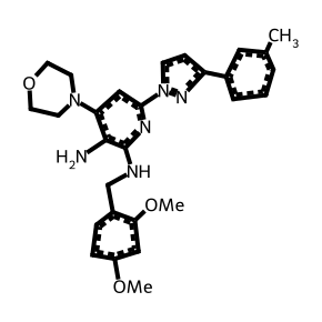 COc1ccc(CNc2nc(-n3ccc(-c4cccc(C)c4)n3)cc(N3CCOCC3)c2N)c(OC)c1